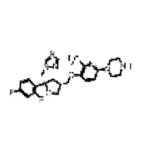 Cc1nc(N2CCNCC2)ccc1OC[C@H]1CO[C@@](Cn2cncn2)(c2ccc(F)cc2F)C1